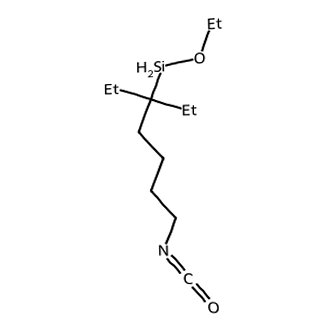 CCO[SiH2]C(CC)(CC)CCCCN=C=O